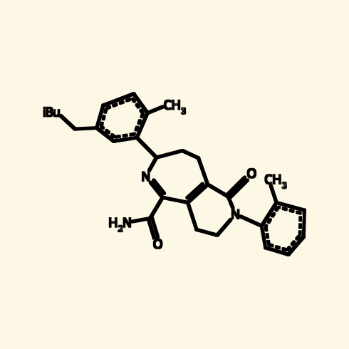 CCC(C)Cc1ccc(C)c(C2CCC3=C(CCN(c4ccccc4C)C3=O)C(C(N)=O)=N2)c1